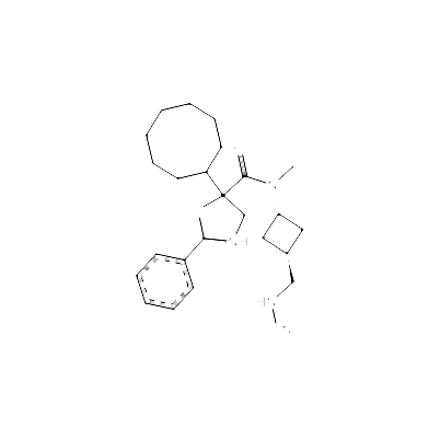 CN(C(=O)C1(C2CCCCCCC2)CNC(c2ccccc2)S1)[C@H]1C[C@H](CNC#N)C1